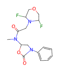 CN(C(=O)CN1C(F)COCC1F)C1CN(c2ccccc2)C(=O)O1